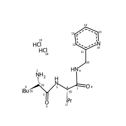 CC[C@H](C)[C@H](N)C(=O)N[C@H](C(=O)NCc1ccccn1)C(C)C.Cl.Cl